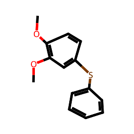 COc1ccc(Sc2ccccc2)cc1OC